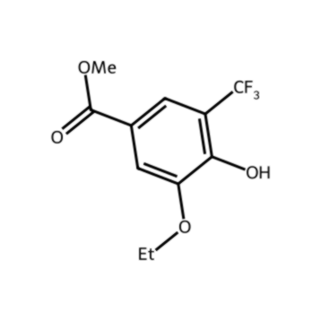 CCOc1cc(C(=O)OC)cc(C(F)(F)F)c1O